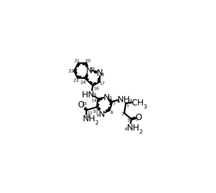 CC(CC(N)=O)Nc1cnc(C(N)=O)c(Nc2cnn3ccccc23)n1